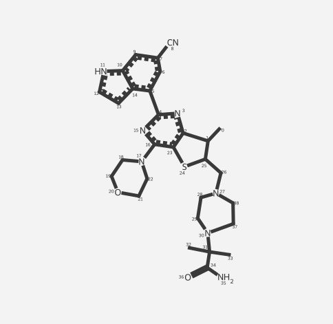 CC1c2nc(-c3cc(C#N)cc4[nH]ccc34)nc(N3CCOCC3)c2SC1CN1CCN(C(C)(C)C(N)=O)CC1